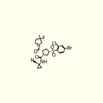 CC1(F)CCN(C(=O)[C@@H]2C[C@H](S(=O)(=O)c3ccc(Br)cc3Cl)C[C@H]2C(=O)NC2(C#N)CC2)C1